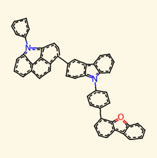 c1ccc(-n2c3cccc4ccc5c(-c6ccc7c(c6)c6ccccc6n7-c6ccc(-c7cccc8c7oc7ccccc78)cc6)ccc2c5c43)cc1